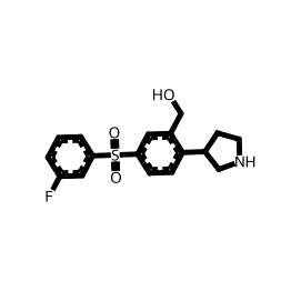 O=S(=O)(c1cccc(F)c1)c1ccc(C2CCNC2)c(CO)c1